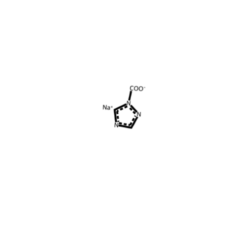 O=C([O-])n1cncn1.[Na+]